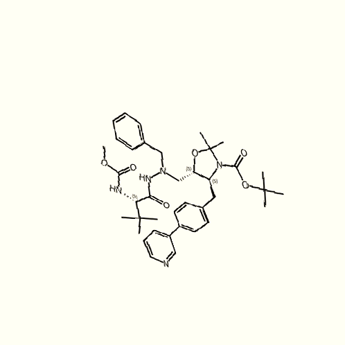 COC(=O)N[C@H](C(=O)NN(Cc1ccccc1)C[C@@H]1OC(C)(C)N(C(=O)OC(C)(C)C)[C@H]1Cc1ccc(-c2cccnc2)cc1)C(C)(C)C